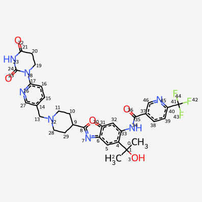 CC(C)(O)c1cc2nc(C3CCN(Cc4ccc(N5CCC(=O)NC5=O)nc4)CC3)oc2cc1NC(=O)c1ccc(C(F)(F)F)nc1